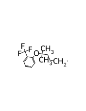 [CH2]CCC(C)(C)Oc1ccccc1C(F)(F)F